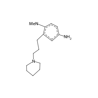 CNc1ccc(N)cc1CCCN1CCCCC1